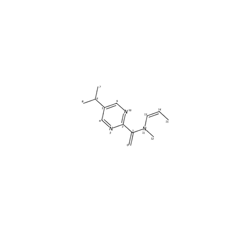 C=C(c1ncc(C(C)C)cn1)N(C)/C=C\C